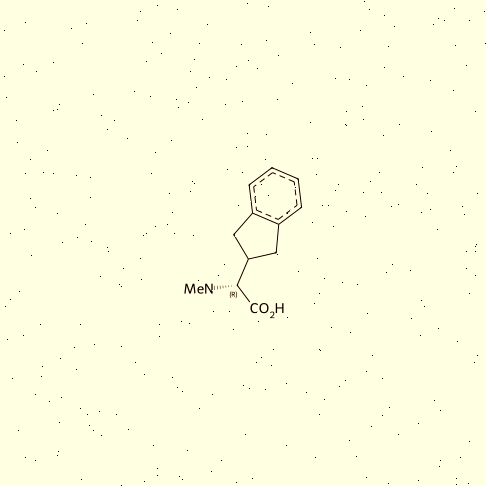 CN[C@@H](C(=O)O)C1Cc2ccccc2C1